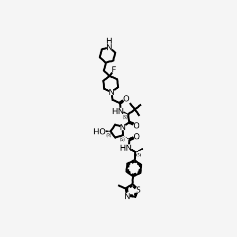 Cc1ncsc1-c1ccc([C@H](C)NC(=O)[C@@H]2C[C@@H](O)CN2C(=O)[C@@H](NC(=O)CN2CCC(F)(CC3CCNCC3)CC2)C(C)(C)C)cc1